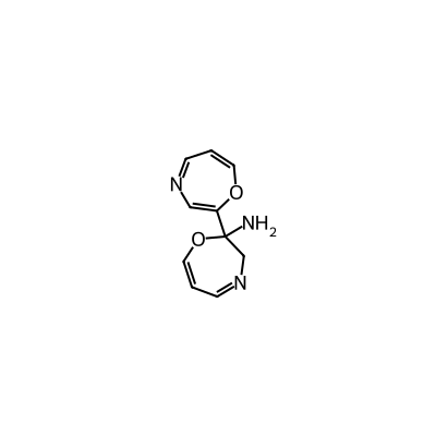 NC1(C2=CN=CC=CO2)CN=CC=CO1